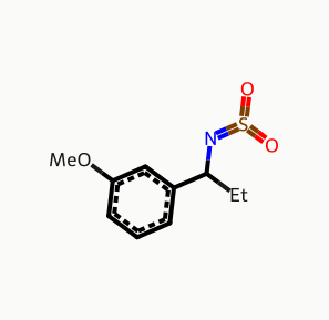 CCC(N=S(=O)=O)c1cccc(OC)c1